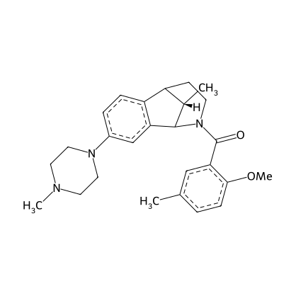 COc1ccc(C)cc1C(=O)N1CCC2c3ccc(N4CCN(C)CC4)cc3C1[C@H]2C